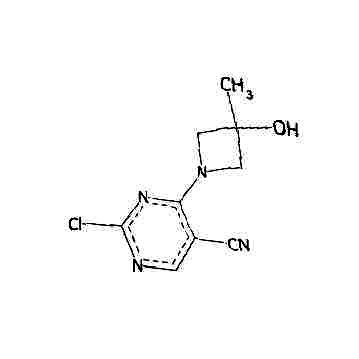 CC1(O)CN(c2nc(Cl)ncc2C#N)C1